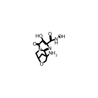 NC12COC(Cn3c1nc(C(=O)NO)c(O)c3=O)C2